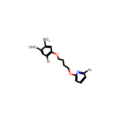 CC(=O)c1cccc(OCCCCOc2cc([N+](=O)[O-])c(C=O)cc2Br)n1